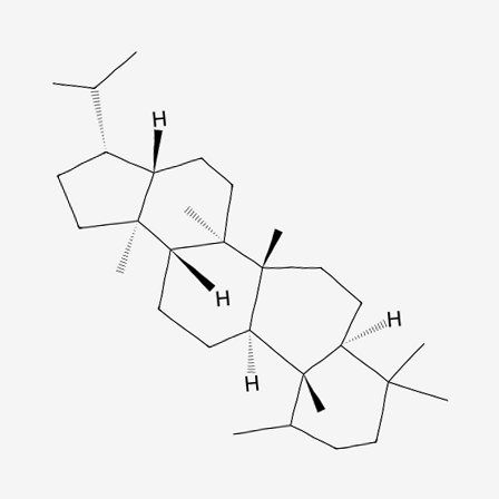 CC(C)[C@H]1CC[C@]2(C)[C@H]3CC[C@@H]4[C@@]5(C)C(C)CCC(C)(C)[C@@H]5CC[C@@]4(C)[C@]3(C)CC[C@@H]12